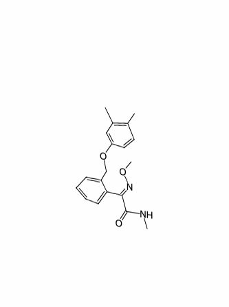 CNC(=O)/C(=N/OC)c1ccccc1COc1ccc(C)c(C)c1